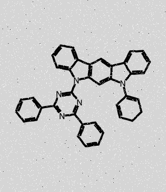 C1=CC(n2c3ccccc3c3cc4c5ccccc5n(-c5nc(-c6ccccc6)nc(-c6ccccc6)n5)c4cc32)=CCC1